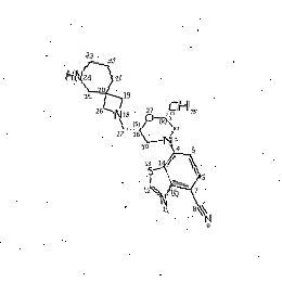 C[C@@H]1CN(c2ccc(C#N)c3ncsc23)C[C@H](CN2CC3(CCCNC3)C2)O1